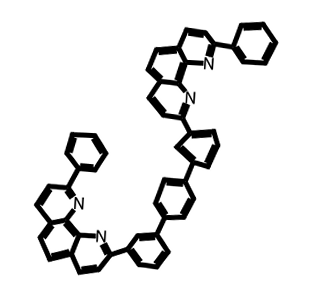 c1ccc(-c2ccc3ccc4ccc(-c5cccc(-c6ccc(-c7cccc(-c8ccc9ccc%10ccc(-c%11ccccc%11)nc%10c9n8)c7)cc6)c5)nc4c3n2)cc1